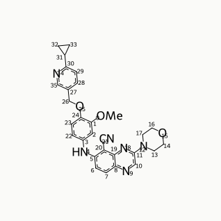 COc1cc(Nc2ccc3ncc(N4CCOCC4)nc3c2C#N)ccc1OCc1ccc(C2CC2)nc1